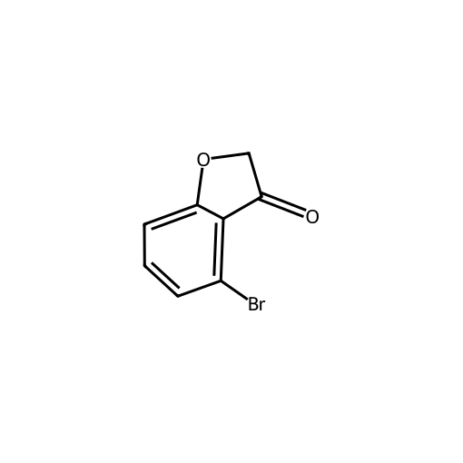 O=C1COc2cccc(Br)c21